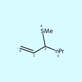 [CH]=CC(CCC)SC